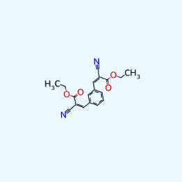 CCOC(=O)C(C#N)=Cc1cccc(C=C(C#N)C(=O)OCC)c1